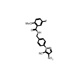 COc1ccc(F)cc1C(=O)NCc1ccc(-n2ncc([N+](=O)[O-])c2C#N)cc1